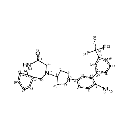 Nc1ccc(N2CCC(N3CC(=O)Nc4ccccc4C3)CC2)cc1-c1ccnc(C(F)(F)F)c1